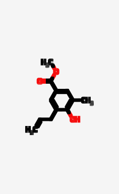 C=CCc1cc(C(=O)OC)cc(C)c1O